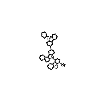 Brc1ccc(-n2c3ccc(-c4ccc5c(c4)c4ccccc4n5-c4ccccc4)cc3c3c4ccccc4ccc32)c2c1oc1ccccc12